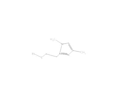 CCSCCc1nc(C)cn1C